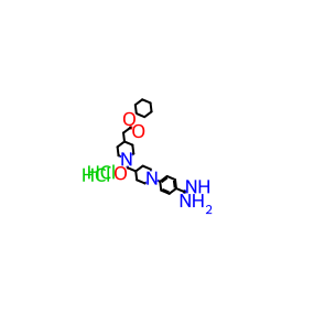 Cl.Cl.N=C(N)c1ccc(N2CCC(C(=O)N3CCC(CC(=O)OC4CCCCC4)CC3)CC2)cc1